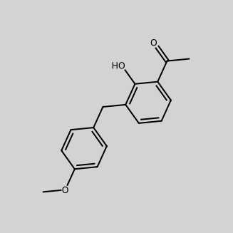 COc1ccc(Cc2cccc(C(C)=O)c2O)cc1